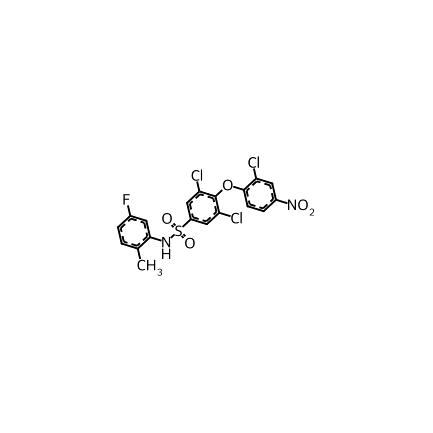 Cc1ccc(F)cc1NS(=O)(=O)c1cc(Cl)c(Oc2ccc([N+](=O)[O-])cc2Cl)c(Cl)c1